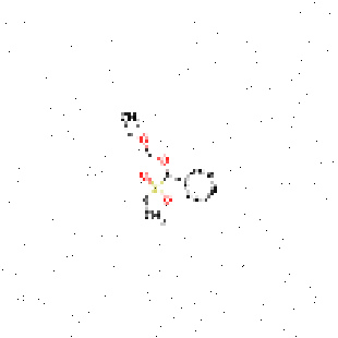 C=CS(=O)(=O)C(OCOCC)c1ccccc1